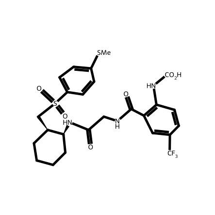 CSc1ccc(S(=O)(=O)C[C@@H]2CCCC[C@@H]2NC(=O)CNC(=O)c2cc(C(F)(F)F)ccc2NC(=O)O)cc1